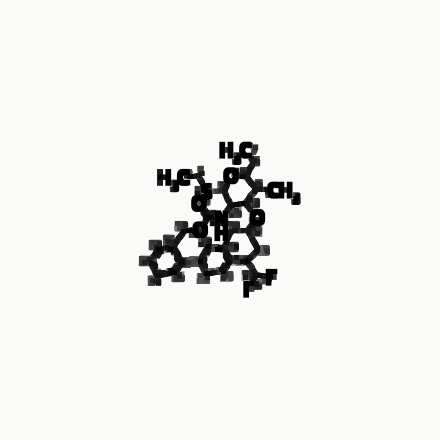 CCSC1OC(CC)C(C)C(OC(CCC(F)F)Cc2ccccc2)C1NC(=O)OCc1ccccc1